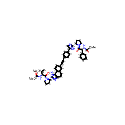 COC(=O)N[C@H](C(=O)N1CCC[C@H]1c1nc2ccc3cc(C#Cc4ccc(-c5cnc([C@@H]6CCCN6C(=O)[C@H](NC(=O)OC)c6ccccc6)[nH]5)cc4)ccc3c2[nH]1)[C@@H](C)OC